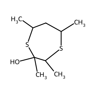 CC1CC(C)SC(C)(O)C(C)S1